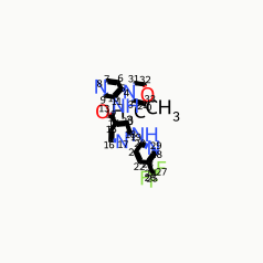 CC1(C)CN(c2ccncc2NC(=O)c2ccnc(Nc3ccc(C(F)(F)F)cn3)c2)CCO1